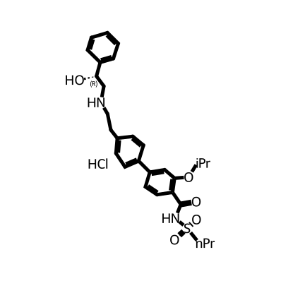 CCCS(=O)(=O)NC(=O)c1ccc(-c2ccc(CCNC[C@H](O)c3ccccc3)cc2)cc1OC(C)C.Cl